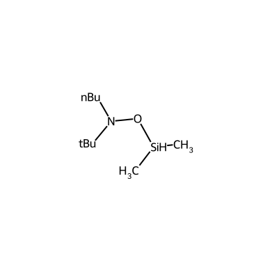 CCCCN(O[SiH](C)C)C(C)(C)C